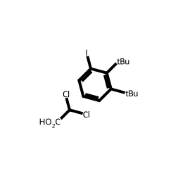 CC(C)(C)c1cccc(I)c1C(C)(C)C.O=C(O)C(Cl)Cl